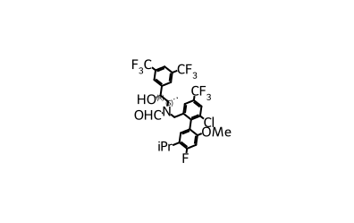 COc1cc(F)c(C(C)C)cc1-c1c(Cl)cc(C(F)(F)F)cc1CN(C=O)[C@@H](C)[C@H](O)c1cc(C(F)(F)F)cc(C(F)(F)F)c1